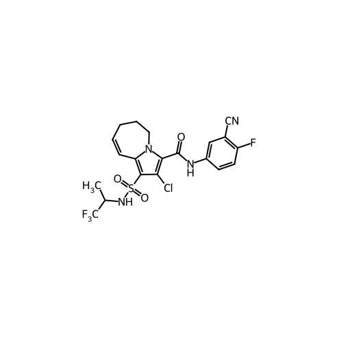 CC(NS(=O)(=O)c1c(Cl)c(C(=O)Nc2ccc(F)c(C#N)c2)n2c1C=CCCC2)C(F)(F)F